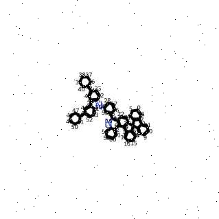 C1=CC2=C(CC1)C1(c3ccccc32)c2ccccc2-c2c1ccc1c(-c3cccc(-n4c5ccc(C6CCCCC6)cc5c5cc(C6CCCCC6)ccc54)c3)nc3ccccc3c21